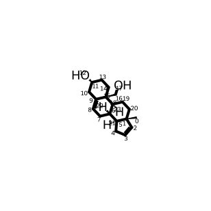 C[C@@]12C=CC[C@H]1[C@@H]1CC=C3C[C@@H](O)CC[C@]3(CO)[C@H]1CC2